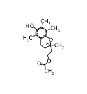 CC(=O)OCC[C@]1(C)CCc2c(C)c(O)c(C)c(C)c2O1